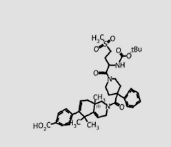 CC(C)(C)OC(=O)NC(CCS(C)(=O)=O)C(=O)N1CCC(C(=O)N2CC=C3C(C)(C)C(c4ccc(C(=O)O)cc4)=CC[C@]3(C)C2)(c2ccccc2)CC1